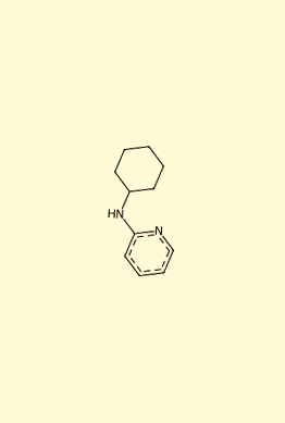 c1ccc(NC2CCCCC2)nc1